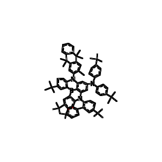 Cc1cc2c(cc1N1c3ccc(C(C)(C)C)cc3B3c4cc5c(cc4N(c4ccc(C(C)(C)C)cc4-c4ccccc4)c4cc(N(c6ccc(C(C)(C)C)cc6)c6ccc(C(C)(C)C)cc6)cc1c43)C(C)(C)CC5(C)C)C(C)(C)c1ccccc1C2(C)C